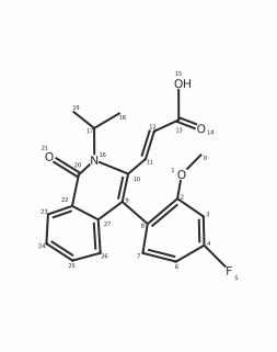 COc1cc(F)ccc1-c1c(C=CC(=O)O)n(C(C)C)c(=O)c2ccccc12